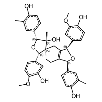 COc1ccc([C@@H]2O[C@H](c3ccc(O)c(C)c3)[C@](C)(O)[C@]23CCC2=C(C3)[C@@H](c3ccc(O)c(OC)c3)O[C@H]2c2ccc(O)c(C)c2)cc1O